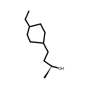 CCC1CCC(CC[C@H](C)O)CC1